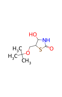 CC(C)(C)OCC1SC(=O)NC1O